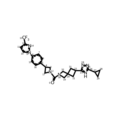 O=C(N1CC(c2ccc(-n3ccc(C(F)(F)F)n3)cc2)C1)N1CC2(CC(c3nnc(C4CC4)[nH]3)C2)C1